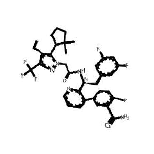 CCc1c(C(F)(F)F)nn(CC(=O)N[C@@H](Cc2cc(F)cc(F)c2)c2ncccc2-c2ccc(F)c(C(N)=O)c2)c1C1CCCC1(C)C